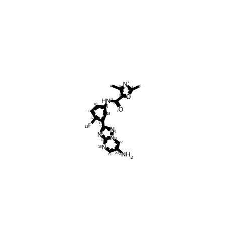 Cc1nc(C)c(C(=O)Nc2ccc(F)c(-c3nc4ncc(N)cn4n3)c2)o1